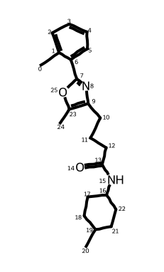 Cc1ccccc1-c1nc(CCCC(=O)NC2CCC(C)CC2)c(C)o1